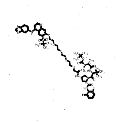 C[C@@H](C(=O)N[C@H](C(=O)N1C[C@@H](NC(=O)COCCOCCOCCOCCOc2cc3nccc(Nc4ccc5scnc5c4)c3cc2S(=O)(=O)C(C)(C)C)C[C@H]1C(=O)Nc1c(F)cccc1F)C(C)(C)C)N(C)C(=O)OC(C)(C)C